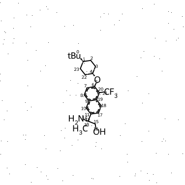 CC(C)(C)[C@H]1CC[C@@H](Oc2ccc3cc([C@](C)(N)CO)ccc3c2C(F)(F)F)CC1